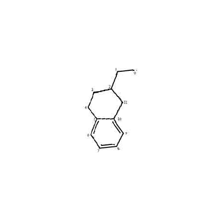 [CH2]CC1CCc2ccccc2C1